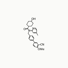 COc1ccc(-c2ccc(CN(C(=O)C3CCC(O)CC3)c3cc(C)ccn3)cc2)cc1C#N